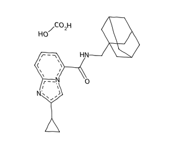 O=C(NCC12CC3CC(CC(C3)C1)C2)c1cccc2nc(C3CC3)cn12.O=C(O)O